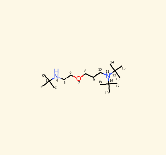 CC(C)(C)NCCOCCCN(C(C)(C)C)C(C)(C)C